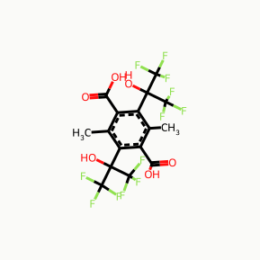 Cc1c(C(=O)O)c(C(O)(C(F)(F)F)C(F)(F)F)c(C)c(C(=O)O)c1C(O)(C(F)(F)F)C(F)(F)F